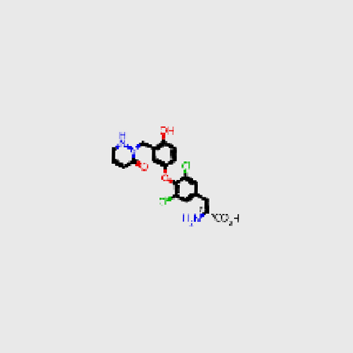 N[C@H](Cc1cc(Cl)c(Oc2ccc(O)c(CN3NCC=CC3=O)c2)c(Cl)c1)C(=O)O